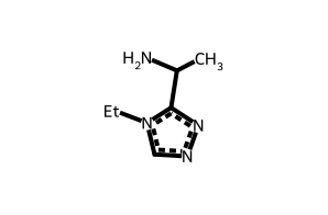 CCn1cnnc1C(C)N